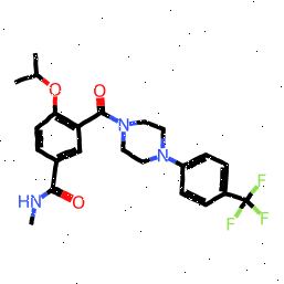 CNC(=O)c1ccc(OC(C)C)c(C(=O)N2CCN(c3ccc(C(F)(F)F)cc3)CC2)c1